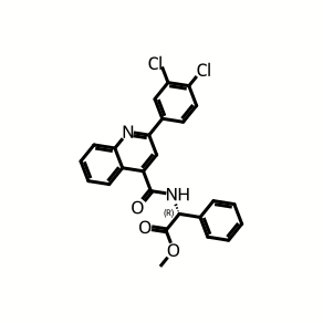 COC(=O)[C@H](NC(=O)c1cc(-c2ccc(Cl)c(Cl)c2)nc2ccccc12)c1ccccc1